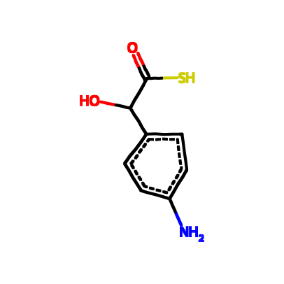 Nc1ccc(C(O)C(=O)S)cc1